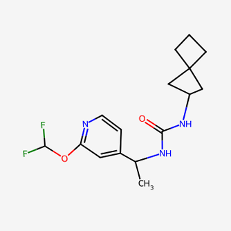 CC(NC(=O)NC1CC2(CCC2)C1)c1ccnc(OC(F)F)c1